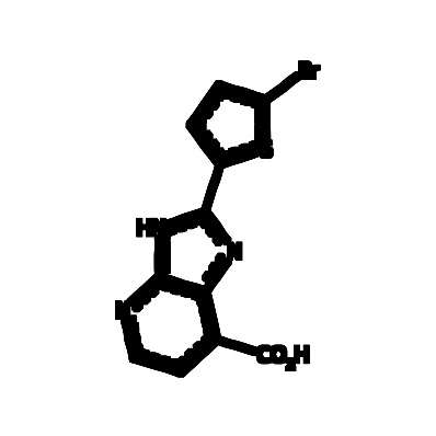 O=C(O)c1ccnc2[nH]c(-c3ccc(Br)s3)nc12